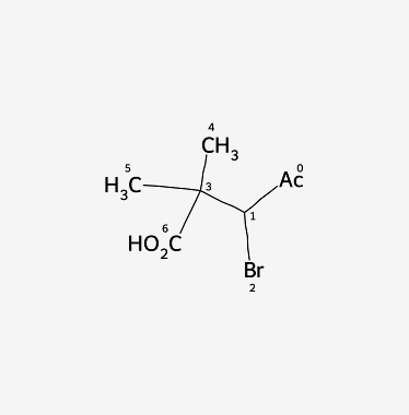 CC(=O)C(Br)C(C)(C)C(=O)O